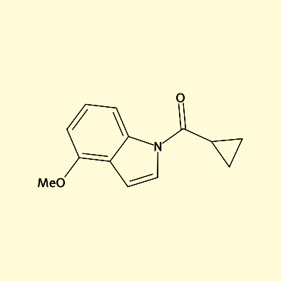 COc1cccc2c1ccn2C(=O)C1CC1